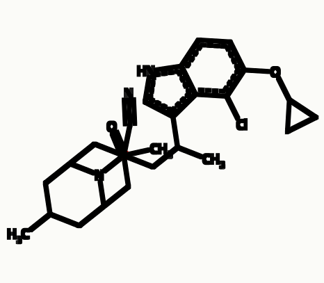 CC1CC2CC(C)(C#N)CC(C1)N2C(=O)CC(C)c1c[nH]c2ccc(OC3CC3)c(Cl)c12